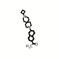 CC(=O)c1ccc2cc(N3CCC4(CC3)CCN(C3CCC3)CC4)ccc2c1